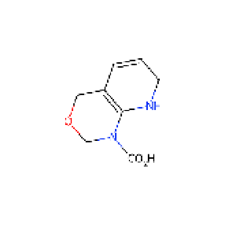 O=C(O)N1COCC2=C1NCC=C2